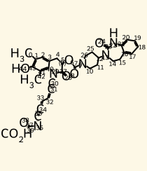 Cc1cc(C[C@@H](OC(=O)N2CCC(N3CCc4ccccc4NC3=O)CC2)C(=O)N=C=C=CC=C=C=NC(=O)C(=O)O)cc(C)c1O